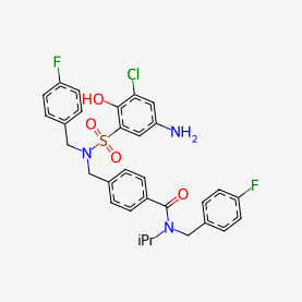 CC(C)N(Cc1ccc(F)cc1)C(=O)c1ccc(CN(Cc2ccc(F)cc2)S(=O)(=O)c2cc(N)cc(Cl)c2O)cc1